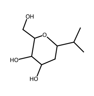 CC(C)C1CC(O)C(O)C(CO)O1